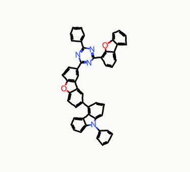 c1ccc(-c2nc(-c3ccc4oc5ccc(-c6cccc7c6c6ccccc6n7-c6ccccc6)cc5c4c3)nc(-c3cccc4c3oc3ccccc34)n2)cc1